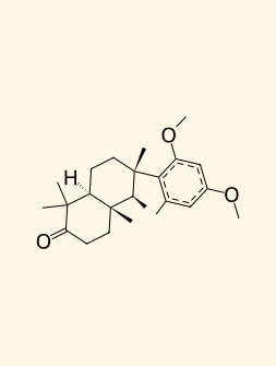 COc1cc(C)c([C@@]2(C)CC[C@@H]3C(C)(C)C(=O)CC[C@@]3(C)[C@@H]2C)c(OC)c1